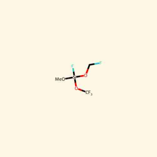 CO[Si](F)(OCF)OC(F)(F)F